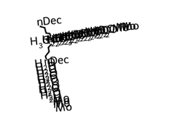 CCCCCCCCCCCCCC[N+](C)(C)CCCCCCCCCCCCCC.O.O.O.O.O.O.O.O.O.O.O.O.O.O.O.O.O.O.O.O.O.O.O.O.O.O.O.O.O.[Mo].[Mo].[Mo].[Mo].[Mo].[Mo].[Mo].[Mo]